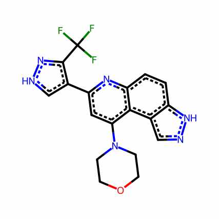 FC(F)(F)c1n[nH]cc1-c1cc(N2CCOCC2)c2c(ccc3[nH]ncc32)n1